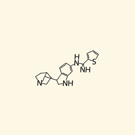 N=C(Nc1ccc2c(c1)NCC2C1CN2CCC1CC2)c1cccs1